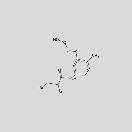 Cc1ccc(NC(=O)C(Br)CBr)cc1SOOO